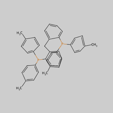 Cc1ccc(P(c2ccc(C)cc2)c2ccccc2Cc2ccccc2P(c2ccc(C)cc2)c2ccc(C)cc2)cc1